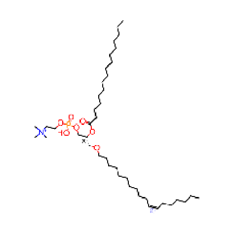 CCCCCC/C=C\CCCCCCCCCCOC[C@H](COP(=O)(O)OCC[N+](C)(C)C)OC(=O)CCCCCCCCCCCCCCC